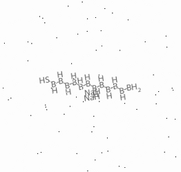 BBBBBBBBBBBBS.[NaH].[NaH]